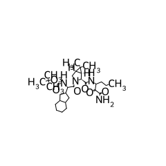 CCCC(NC(=O)[C@@H]1[C@H]2[C@@H](CN1C(=O)[C@@H](NC(=O)OC(C)(C)C)C1CC3CCCCC3C1)C2(C)C)C(=O)C(N)=O